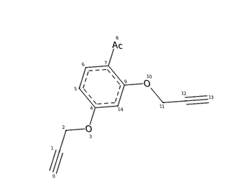 C#CCOc1ccc(C(C)=O)c(OCC#C)c1